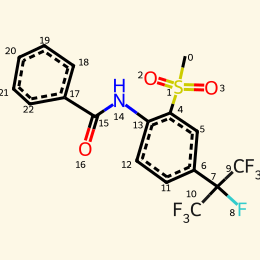 CS(=O)(=O)c1cc(C(F)(C(F)(F)F)C(F)(F)F)ccc1NC(=O)c1ccccc1